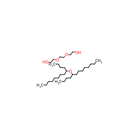 CCCCCCCCC(CCCC)OC(CCCC)CCCCCCCC.OCCOCCOCCO